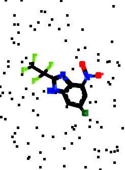 O=[N+]([O-])c1cc(Cl)cc2[nH]c(C(F)(F)C(F)F)nc12